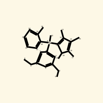 CCc1cc(CC)cc([Si](C)(C2=C(C)C(C)=C(C)C2C)c2ccccc2C)c1